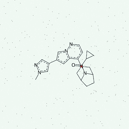 Cn1cc(-c2cc3c(N4CC5CCC(C4)N5C(=O)C4CC4)ccnn3c2)cn1